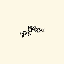 O=C(Nc1ccc(Cl)cc1C(=O)O)c1cccc(C(=O)c2ccc(F)c(F)c2)c1